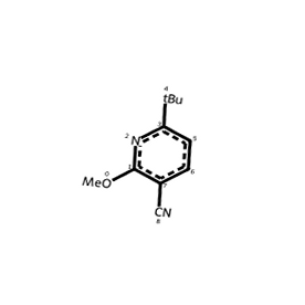 COc1nc(C(C)(C)C)ccc1C#N